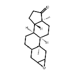 C[C@]12CC3OC3CC1CC[C@@H]1[C@H]2CC[C@]2(C)C(=O)CC[C@@H]12